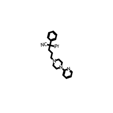 CC(C)C(C#N)(CCCN1CCN(c2ccccn2)CC1)c1ccccc1